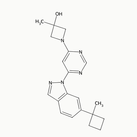 CC1(O)CN(c2cc(-n3ncc4ccc(C5(C)CCC5)cc43)ncn2)C1